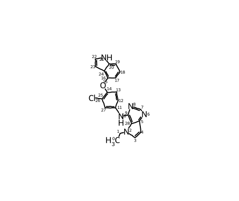 CCn1ccc2ncnc(Nc3ccc(Oc4cccc5[nH]ccc45)c(Cl)c3)c21